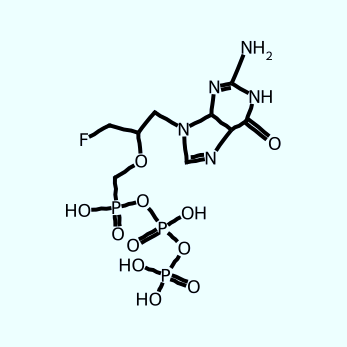 NC1=NC2C(N=CN2CC(CF)OCP(=O)(O)OP(=O)(O)OP(=O)(O)O)C(=O)N1